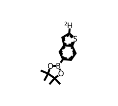 [2H]c1cc2cc(B3OC(C)(C)C(C)(C)O3)ccc2s1